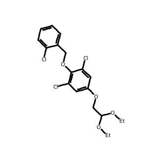 CCOC(COc1cc(Cl)c(OCc2ccccc2Cl)c(Cl)c1)OCC